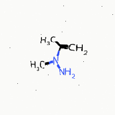 C=C(C)N(C)N